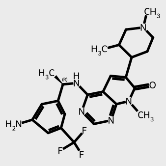 CC1CN(C)CCC1c1cc2c(N[C@H](C)c3cc(N)cc(C(F)(F)F)c3)ncnc2n(C)c1=O